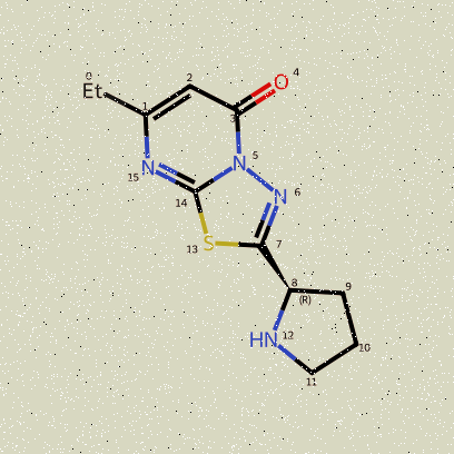 CCc1cc(=O)n2nc([C@H]3CCCN3)sc2n1